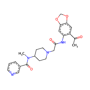 CC(=O)c1cc2c(cc1NC(=O)CN1CCC(N(C)C(=O)c3cccnc3)CC1)OCO2